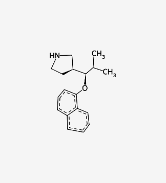 CC(C)[C@@H](Oc1cccc2ccccc12)[C@H]1CCNC1